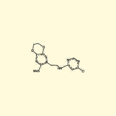 CSc1cc2c(cc1CCNc1cc(Cl)ncn1)OCCO2